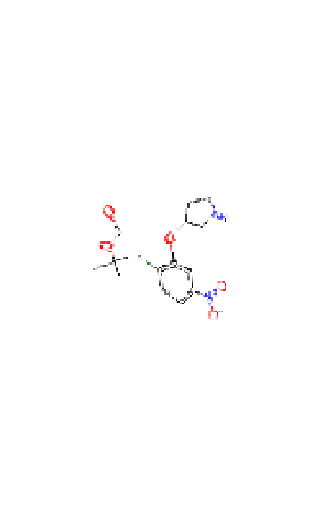 CC(C)(C)OC=O.O=[N+]([O-])c1ccc(F)c(O[C@@H]2CCNC2)c1